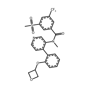 CN(C(=O)c1cc(C(F)(F)F)cc(S(C)(=O)=O)c1)c1cnccc1-c1ccccc1OC1COC1